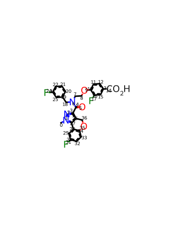 Cn1nc(C(=O)N(CCOc2ccc(C(=O)O)cc2F)Cc2cccc(F)c2)c2c1-c1cc(F)ccc1OC2